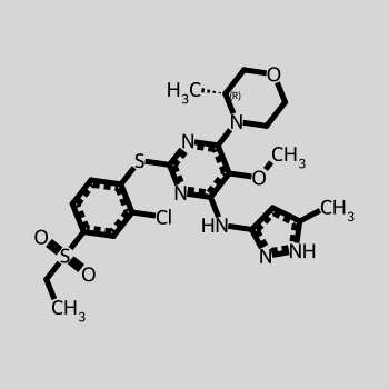 CCS(=O)(=O)c1ccc(Sc2nc(Nc3cc(C)[nH]n3)c(OC)c(N3CCOC[C@H]3C)n2)c(Cl)c1